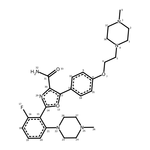 CN1CCN(CCOc2ccc(-c3oc(-c4c(F)cccc4N4CCN(C)CC4)nc3C(N)=O)cc2)CC1